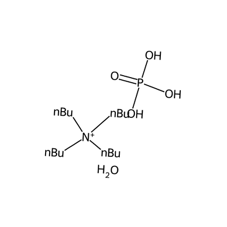 CCCC[N+](CCCC)(CCCC)CCCC.O.O=P(O)(O)O